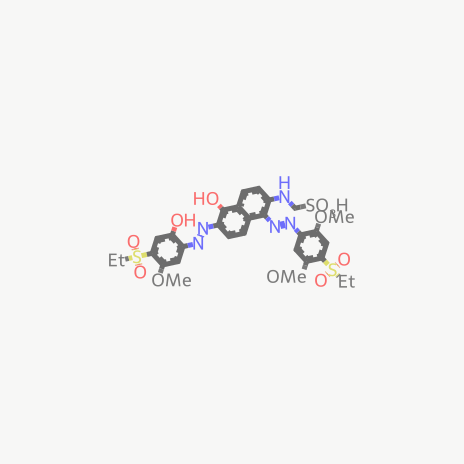 CCS(=O)(=O)c1cc(O)c(/N=N/c2ccc3c(/N=N/c4cc(OC)c(S(=O)(=O)CC)cc4OC)c(NCS(=O)(=O)O)ccc3c2O)cc1OC